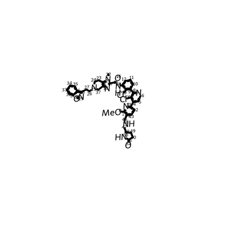 COc1nc(-c2ccnc(-c3cccc(NC(=O)c4nc5c(n4C)CCN(CCc4noc6ccccc46)C5)c3Cl)c2Cl)ccc1CNCC1CCC(=O)N1